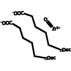 CCCCCCCCCCCCCCC(=O)[O-].CCCCCCCCCCCCCCC(=O)[O-].[O]=[Zr+2]